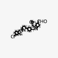 O=Cc1ccc2nc(Cc3ccc(-c4cccc(OCc5ccc(Cl)cc5F)n4)cc3)n(C[C@@H]3CCO3)c2c1